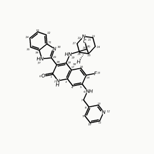 O=c1[nH]c2cc(NCc3cccnc3)c(F)cc2c(N[C@H]2CN3CCC2CC3)c1-c1nc2ccccc2[nH]1